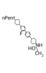 C=CC(O)NC1CCC(c2ccc(-c3ccc(C4CCC(CCCCC)CC4)cc3F)cc2)CC1